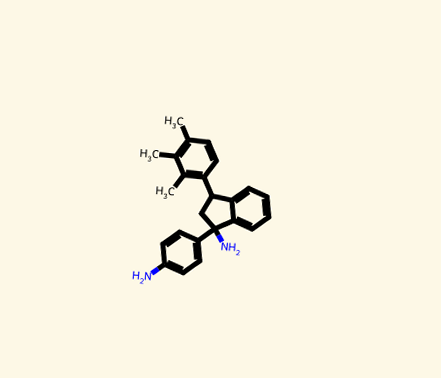 Cc1ccc(C2CC(N)(c3ccc(N)cc3)c3ccccc32)c(C)c1C